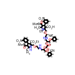 CCOC(=O)C1=C(COCCNCC(COc2ccccc2C#N)OC(=O)C(=O)OC(CNCCOCC2=C(C(=O)O)C(c3cccc([N+](=O)[O-])c3)C(C(=O)OC)=C(C)N2CC)COc2ccccc2C#N)NC(C)=C(C(=O)OC)C1c1cccc([N+](=O)[O-])c1